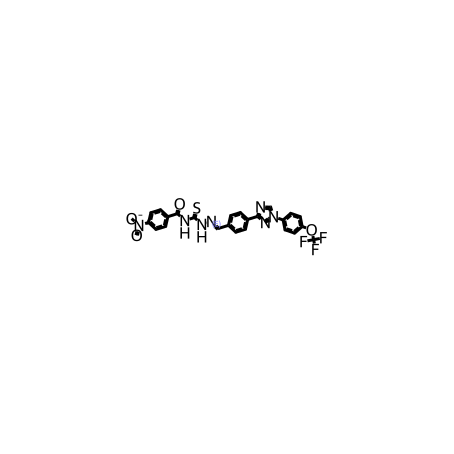 O=C(NC(=S)N/N=C/c1ccc(-c2ncn(-c3ccc(OC(F)(F)F)cc3)n2)cc1)c1ccc([N+](=O)[O-])cc1